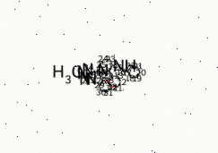 Cn1nnc(C2CC3(c4ccccc4)C(NCc4ccccc4)CCC2N3Cc2ccccc2)n1